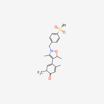 CC1=[C]C(=O)C(C(F)(F)F)C=C1C1=C(C)N(Cc2ccc(S(=O)(=O)C(C)C)cc2)OC1C